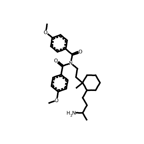 COc1ccc(C(=O)N(CCC2(C)CCCCC2CCC(C)N)C(=O)c2ccc(OC)cc2)cc1